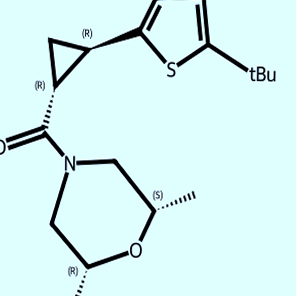 C[C@@H]1CN(C(=O)[C@@H]2C[C@H]2c2ccc(C(C)(C)C)s2)C[C@H](C)O1